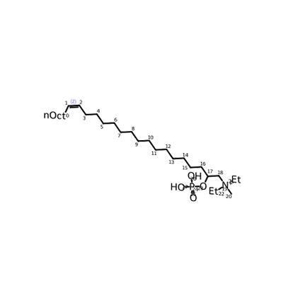 CCCCCCCC/C=C\CCCCCCCCCCCCCCC(C[N+](C)(CC)CC)OP(=O)(O)O